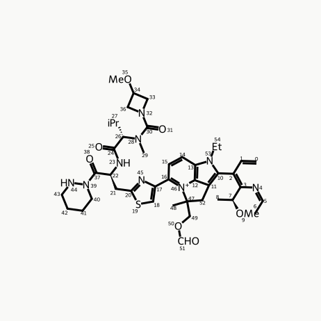 C=C/C(=C(\N=C/C)[C@H](C)OC)c1c2c3c(ccc(-c4csc(C[C@H](NC(=O)[C@H](C(C)C)N(C)C(=O)N5CC(OC)C5)C(=O)N5CCCCN5)n4)[n+]3C(C)(COC=O)C2)n1CC